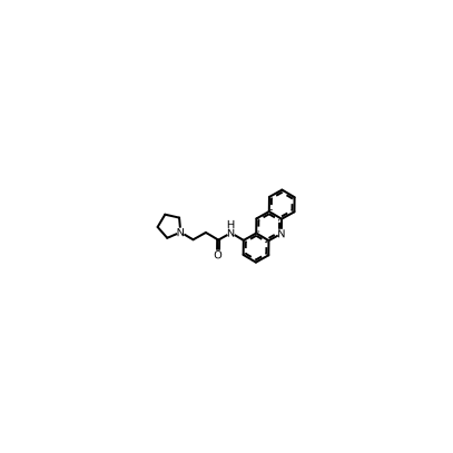 O=C(CCN1CCCC1)Nc1cccc2nc3ccccc3cc12